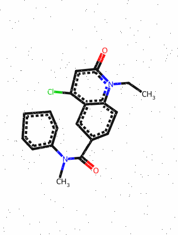 CCn1c(=O)cc(Cl)c2cc(C(=O)N(C)c3ccccc3)ccc21